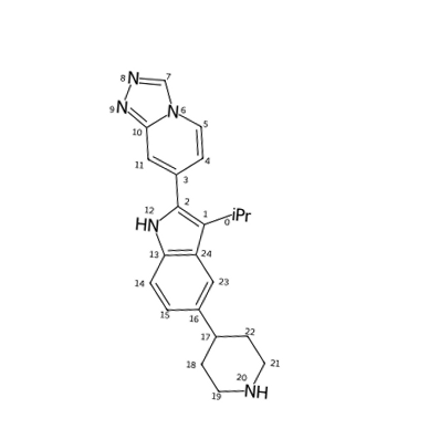 CC(C)c1c(-c2ccn3cnnc3c2)[nH]c2ccc(C3CCNCC3)cc12